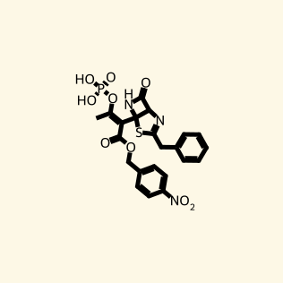 CC(OP(=O)(O)O)=C(C(=O)OCc1ccc([N+](=O)[O-])cc1)C12NC(=O)C1N=C(Cc1ccccc1)S2